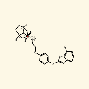 CS(=O)(=O)N1[C@@H]2CC[C@H]1C[C@@H](NCCOc1ccc(Oc3nc4cccc(Cl)c4s3)cc1)C2